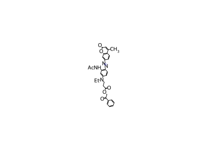 CCN(CCC(=O)OCC(=O)c1ccccc1)c1ccc(/N=N/c2ccc3c(C)cc(=O)oc3c2)c(NC(C)=O)c1